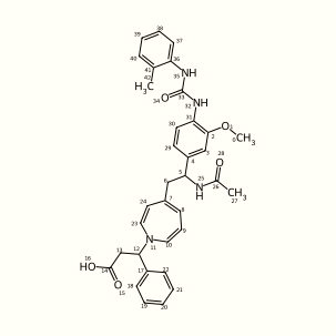 COc1cc(C(CC2=CC=CN(C(CC(=O)O)c3ccccc3)C=C2)NC(C)=O)ccc1NC(=O)Nc1ccccc1C